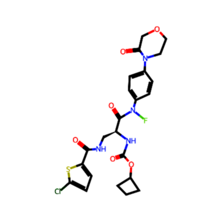 O=C(N[C@@H](CNC(=O)c1ccc(Cl)s1)C(=O)N(F)c1ccc(N2CCOCC2=O)cc1)OC1CCC1